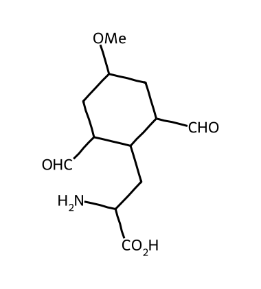 COC1CC(C=O)C(CC(N)C(=O)O)C(C=O)C1